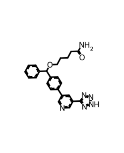 NC(=O)CCCCOC(c1ccccc1)c1ccc(-c2cncc(-c3nn[nH]n3)c2)cc1